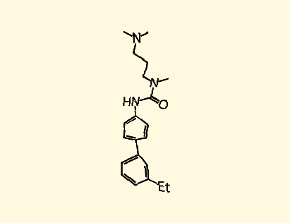 CCc1cccc(-c2ccc(NC(=O)N(C)CCCN(C)C)cc2)c1